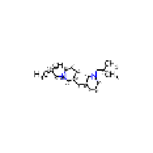 CC(C)CN1CCCC(CC2CCCN(CC(C)C)C2)C1